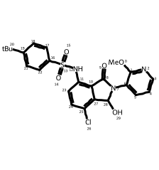 COc1ncccc1N1C(=O)c2c(NS(=O)(=O)c3ccc(C(C)(C)C)cc3)ccc(Cl)c2C1O